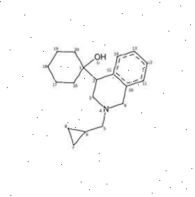 OC1(C2CN(CC3CC3)Cc3ccccc32)CCCCC1